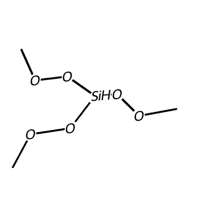 COO[SiH](OOC)OOC